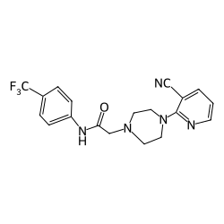 N#Cc1cccnc1N1CCN(CC(=O)Nc2ccc(C(F)(F)F)cc2)CC1